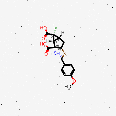 COc1ccc(CS[C@@H]2C[C@@H]3[C@H]([C@]2(N)C(=O)O)[C@@]3(F)C(=O)O)cc1